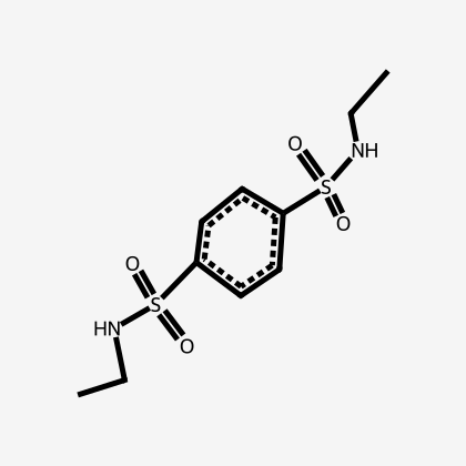 CCNS(=O)(=O)c1ccc(S(=O)(=O)NCC)cc1